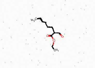 CCCCCCC([C]=O)C(=O)OCC